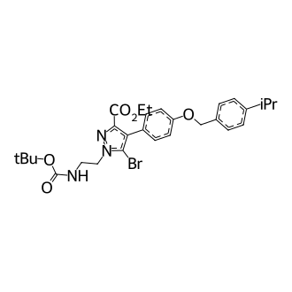 CCOC(=O)c1nn(CCNC(=O)OC(C)(C)C)c(Br)c1-c1ccc(OCc2ccc(C(C)C)cc2)cc1